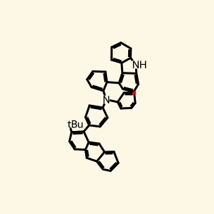 CC(C)(C)c1ccc2cc3ccccc3cc2c1-c1ccc(N(c2ccccc2)c2ccccc2-c2cccc3[nH]c4ccccc4c23)cc1